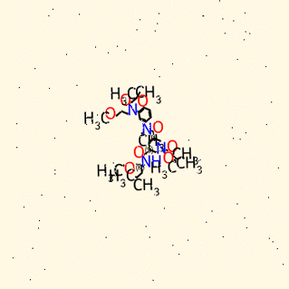 CCOC[C@@H](CC(C)C)NC(=O)[C@H]1C[C@@H](C(=O)N(CC)c2ccc3c(c2)N(CCCOC)C(=O)C(C)(C)O3)CN(C(=O)OC(C)(C)C)C1